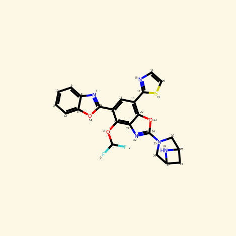 FC(F)Oc1c(-c2nc3ccccc3o2)cc(-c2nccs2)c2oc(N3CC4CC(C3)N4)nc12